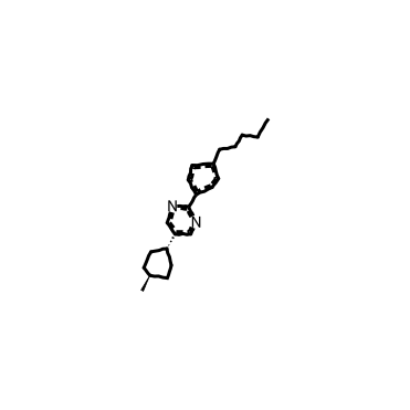 CCCCCc1ccc(-c2ncc([C@H]3CC[C@H](C)CC3)cn2)cc1